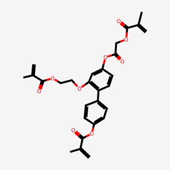 C=C(C)C(=O)OCCOc1cc(OC(=O)COC(=O)C(=C)C)ccc1-c1ccc(OC(=O)C(=C)C)cc1